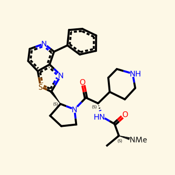 CN[C@@H](C)C(=O)N[C@H](C(=O)N1CCC[C@H]1c1nc2c(-c3ccccc3)nccc2s1)C1CCNCC1